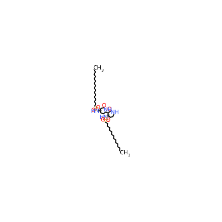 CCCCCCCCCCCCCCCCCCS(=O)(=O)N[C@H]1CCC(C2C(=O)NCCC[C@@H]2NS(=O)(=O)CCCCCCCCCCCCCCCC)NC(=O)C1